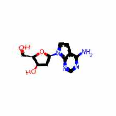 Nc1ncnc2c1ccn2[C@H]1C[C@@H](O)[C@@H](CO)O1